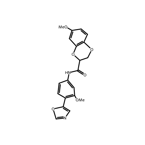 COc1ccc2c(c1)OC(C(=O)Nc1ccc(-c3cnco3)c(OC)c1)CO2